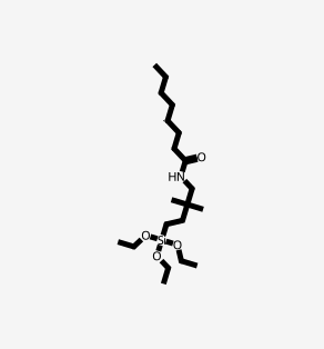 CCCC[CH]CCC(=O)NCC(C)(C)CC[Si](OCC)(OCC)OCC